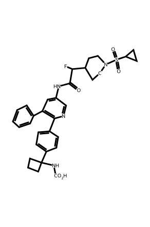 O=C(O)NC1(c2ccc(-c3ncc(NC(=O)C(F)C4CCN(S(=O)(=O)C5CC5)CC4)cc3-c3ccccc3)cc2)CCC1